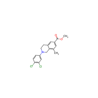 COC(=O)c1cc(C)c2c(c1)CCN(c1ccc(Cl)c(Cl)c1)C2